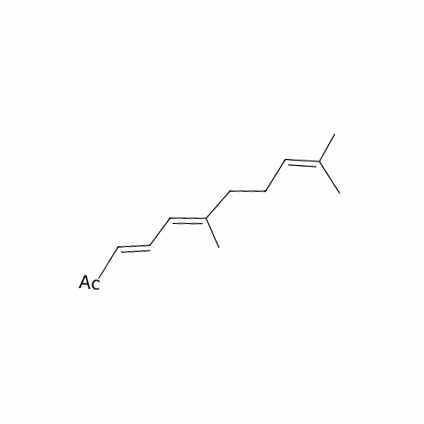 CC(=O)/C=C/C=C(\C)CCC=C(C)C